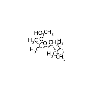 CCC(C(=O)OCC(C)O)=C(C)C=CC=C(C)C=CC1=C(C)CCCC1(C)C